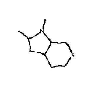 CC1CC2CCSCC2N1C